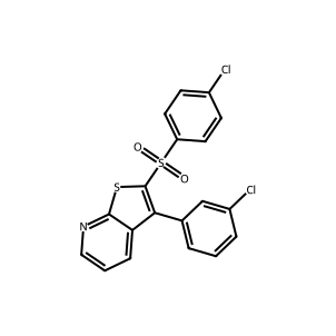 O=S(=O)(c1ccc(Cl)cc1)c1sc2ncccc2c1-c1cccc(Cl)c1